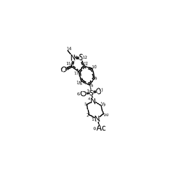 CC(=O)N1CCN(S(=O)(=O)c2ccc3sn(C)c(=O)c3c2)CC1